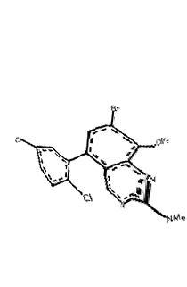 CNc1ncc2c(-c3cc(Cl)ccc3Cl)cc(Br)c(OC)c2n1